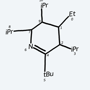 CCC1C(C(C)C)C(C(C)(C)C)=NC(C(C)C)C1C(C)C